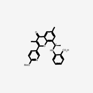 COc1ccc(-c2oc3c([C@@H](C)Nc4ccccc4C(=O)O)cc(C)cc3c(=O)c2C)cn1